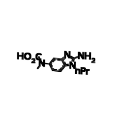 CCCn1c(N)nc2cc(N(C)C(=O)O)ccc21